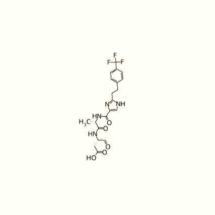 C[C@H](NC(=O)c1c[nH]c(CCc2ccc(C(F)(F)F)cc2)n1)C(=O)N[C@H](C=O)CC(=O)O